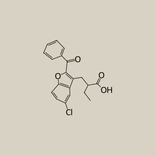 CCC(Cc1c(C(=O)c2ccccc2)oc2ccc(Cl)cc12)C(=O)O